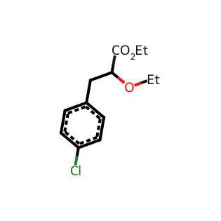 CCOC(=O)C(Cc1ccc(Cl)cc1)OCC